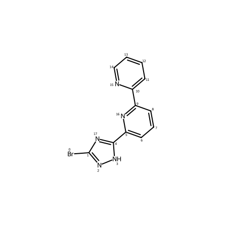 Brc1n[nH]c(-c2cccc(-c3ccccn3)n2)n1